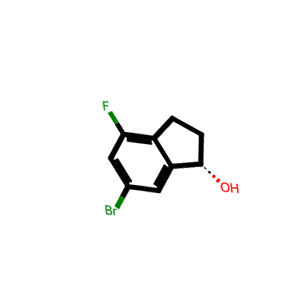 O[C@H]1CCc2c(F)cc(Br)cc21